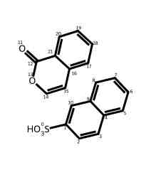 O=S(=O)(O)c1ccc2ccccc2c1.O=c1occc2ccccc12